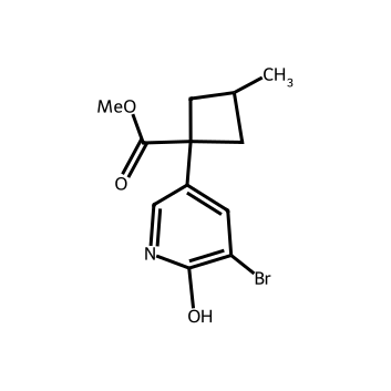 COC(=O)C1(c2cnc(O)c(Br)c2)CC(C)C1